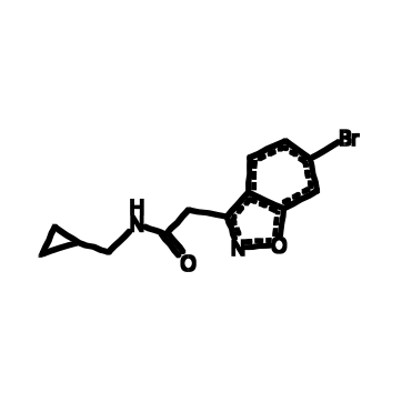 O=C(Cc1noc2cc(Br)ccc12)NCC1CC1